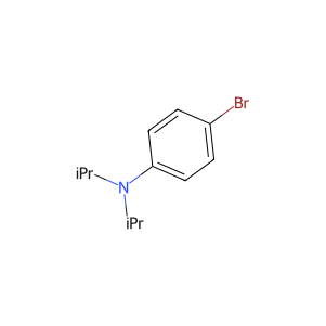 CC(C)N(c1ccc(Br)cc1)C(C)C